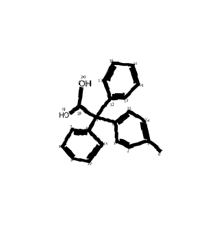 Cc1ccc(C(c2ccccc2)(c2ccccc2)C(O)O)cc1